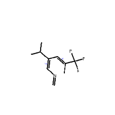 C=N/C=C(\C=C(/C)C(F)(F)F)C(C)C